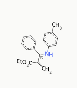 C=C(C(=O)OCC)[C@@H](Nc1ccc(C)cc1)c1ccccc1